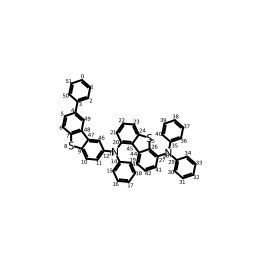 c1ccc(-c2ccc3sc4ccc(N(c5ccccc5)c5cccc6sc7c(N(c8ccccc8)c8ccccc8)cccc7c56)cc4c3c2)cc1